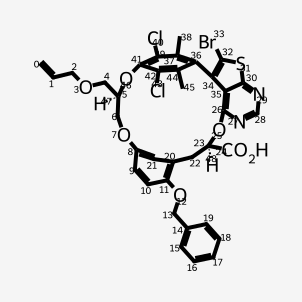 C=CCOC[C@@H]1COc2ccc(OCc3ccccc3)c(c2)C[C@H](C(=O)O)Oc2ncnc3sc(Br)c(c23)-c2c(C)c(Cl)c(c(Cl)c2C)O1